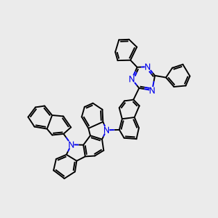 c1ccc(-c2nc(-c3ccccc3)nc(-c3ccc4c(-n5c6ccccc6c6c5ccc5c7ccccc7n(-c7ccc8ccccc8c7)c56)cccc4c3)n2)cc1